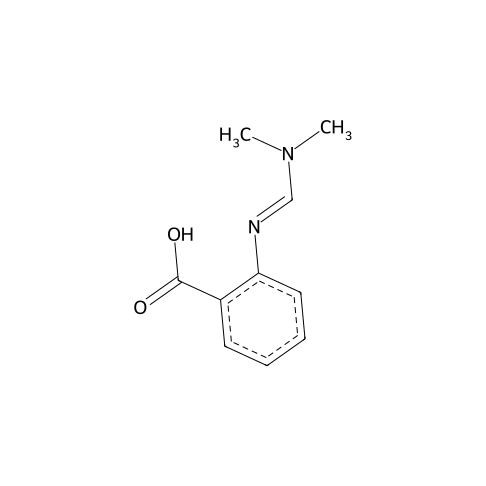 CN(C)C=Nc1ccccc1C(=O)O